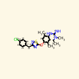 CCN(C)C(=N)Nc1cc(C)c(Oc2nc(Cc3ccc(Cl)cc3)ns2)cc1C